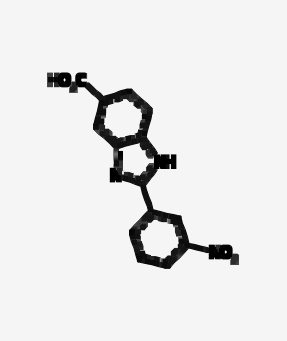 O=C(O)c1ccc2[nH]c(-c3cccc([N+](=O)[O-])c3)nc2c1